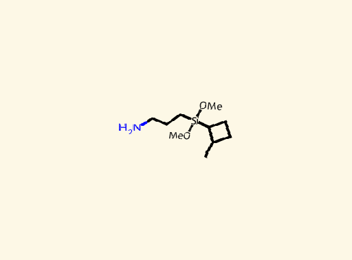 CO[Si](CCCN)(OC)C1CCC1C